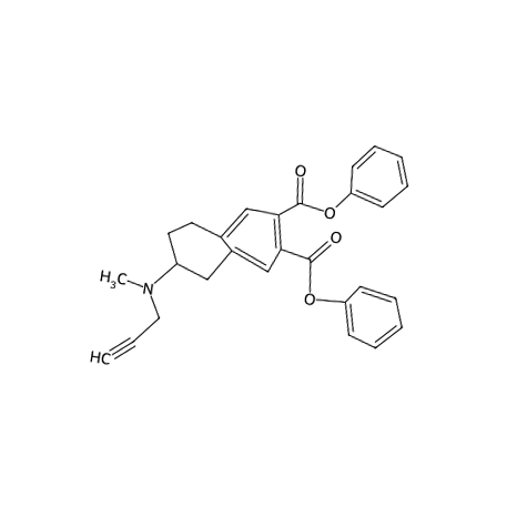 C#CCN(C)C1CCc2cc(C(=O)Oc3ccccc3)c(C(=O)Oc3ccccc3)cc2C1